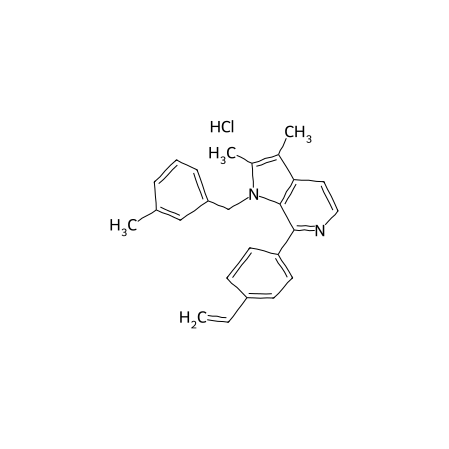 C=Cc1ccc(-c2nccc3c(C)c(C)n(Cc4cccc(C)c4)c23)cc1.Cl